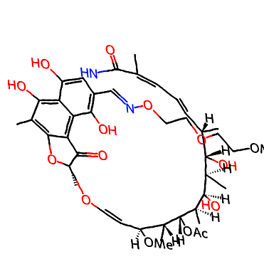 COCCOCCO/N=C/c1c2c(O)c3c(O)c(C)c4c(c3c1O)C(=O)[C@@](C)(O/C=C/[C@H](OC)[C@@H](C)[C@@H](OC(C)=O)[C@H](C)[C@H](O)[C@H](C)[C@@H](O)[C@@H](C)/C=C/C=C(/C)C(=O)N2)O4